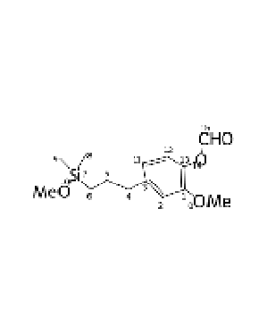 COc1cc(CCC[Si](C)(C)OC)ccc1OC=O